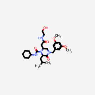 COc1cc(CN2CC(CC(=O)NCCO)N(C(=O)NC3CCCCC3)C(CC(C)C)C2=O)cc(OC)c1